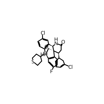 O=C1C[C@@H](C2C=CC=C(Cl)C2)[C@]2(C(=O)Nc3cc(F)ccc32)[C@@H](c2cc(Cl)ccc2OC2CCSCC2)N1